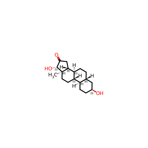 C[C@@]12CC[C@H]3[C@@H]4CC[C@H](O)C[C@H]4CC[C@@H]3[C@H]1CC(=O)[C@H]2O